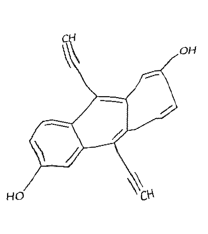 C#Cc1c2ccc(O)cc2c(C#C)c2ccc(O)cc12